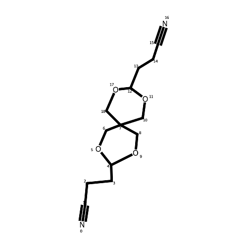 N#CCCC1OCC2(CO1)COC(CCC#N)OC2